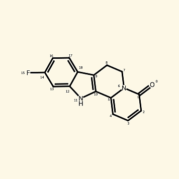 O=c1cccc2n1CCc1c-2[nH]c2cc(F)ccc12